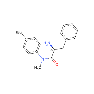 CN(C(=O)[C@@H](N)Cc1ccccc1)c1ccc(C(C)(C)C)cc1